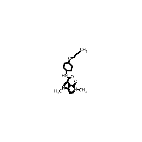 CCCCOC1CCC(NC(=O)c2cn(C)c3ccn(C)c(=O)c23)CC1